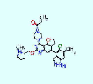 C=CC(=O)N1CCN(c2nc(OCC3CCCN3C)nc3cc(-c4c(Cl)c(C)cc5[nH]ncc45)c4c(c23)OCC4)CC1